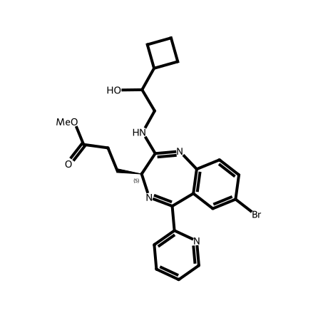 COC(=O)CC[C@@H]1N=C(c2ccccn2)c2cc(Br)ccc2N=C1NCC(O)C1CCC1